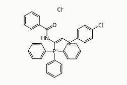 O=C(N/C(=C/Sc1ccc(Cl)cc1)[P+](c1ccccc1)(c1ccccc1)c1ccccc1)c1ccccc1.[Cl-]